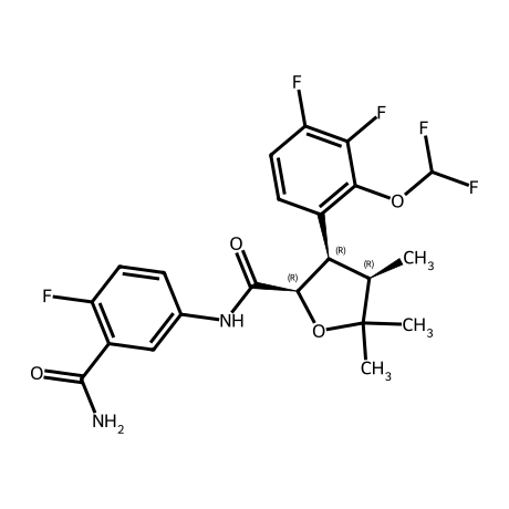 C[C@@H]1[C@H](c2ccc(F)c(F)c2OC(F)F)[C@H](C(=O)Nc2ccc(F)c(C(N)=O)c2)OC1(C)C